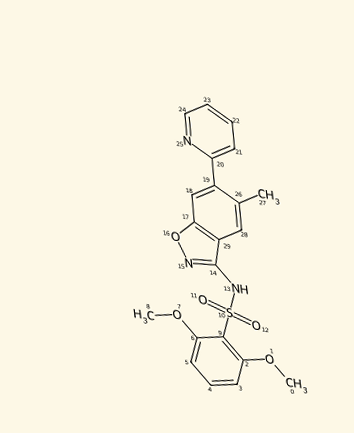 COc1cccc(OC)c1S(=O)(=O)Nc1noc2cc(-c3ccccn3)c(C)cc12